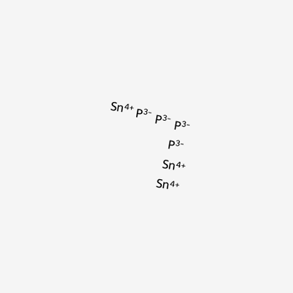 [P-3].[P-3].[P-3].[P-3].[Sn+4].[Sn+4].[Sn+4]